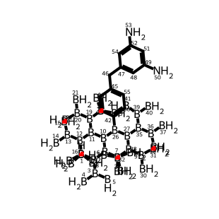 BBB(B(B)B)B(B(B)B)B(B(B(B(B)B)B(B)B)B(B(B)B)B(B)B)B(B(B(B(B)B)B(B)B)B(B(B)B)B(B)B)c1ccc(Cc2cc(N)cc(N)c2)cc1